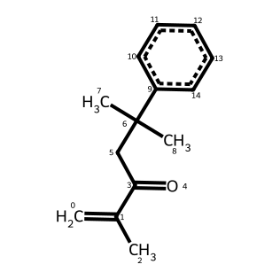 C=C(C)C(=O)CC(C)(C)c1ccccc1